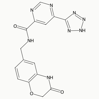 O=C1COc2ccc(CNC(=O)c3cc(-c4nn[nH]n4)ncn3)cc2N1